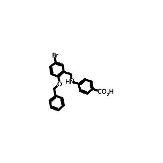 O=C(O)c1ccc(NCc2cc(Br)ccc2OCc2ccccc2)cc1